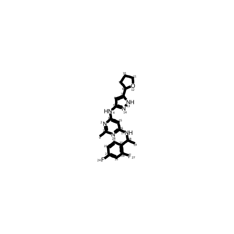 Cc1nc(Nc2cc(C3CCCO3)[nH]n2)cc(NC(C)c2ccc(F)cc2F)n1